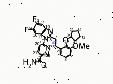 COc1cccc(/C=C/c2nc3cc(F)c(F)cc3n2-c2ccc(C(N)=O)nn2)c1OC1CCCC1